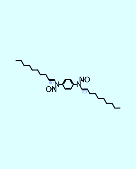 CCCCCCCC/C=C/N(N=O)c1ccc(N(/C=C/CCCCCCCC)N=O)cc1